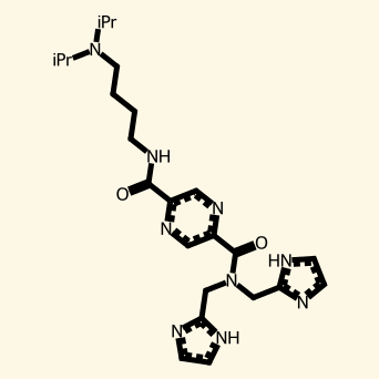 CC(C)N(CCCCNC(=O)c1cnc(C(=O)N(Cc2ncc[nH]2)Cc2ncc[nH]2)cn1)C(C)C